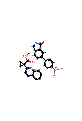 COC(=O)C1(c2ccc3ccccc3n2)CC1.O=C1N=Cc2ccc(-c3ccc([N+](=O)[O-])cc3)cc21